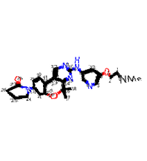 CNCCOc1cncc(Nc2ncc3c(n2)C(C)(C)Oc2cc(N4CCCC4=O)ccc2-3)c1